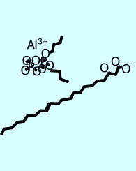 CCCCCCCCC=CCCCCCCCCCC(=O)CC(=O)[O-].CCCCOP(=O)(OCCCC)OP(=O)([O-])[O-].[Al+3]